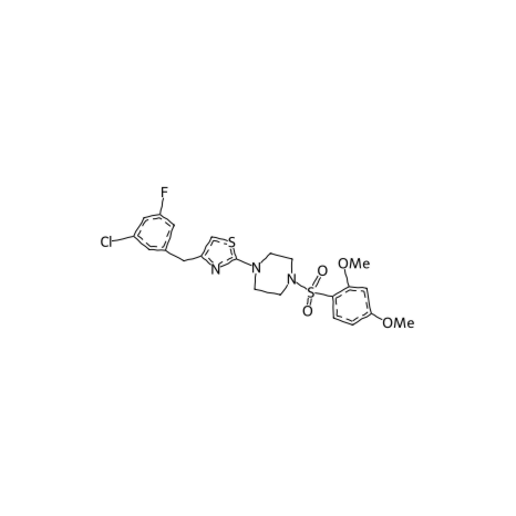 COc1ccc(S(=O)(=O)N2CCN(c3nc(Cc4cc(F)cc(Cl)c4)cs3)CC2)c(OC)c1